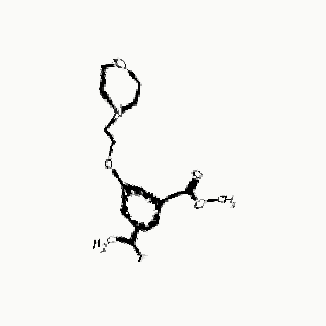 C=C(F)c1cc(OCCN2CCOCC2)cc(C(=O)OC)c1